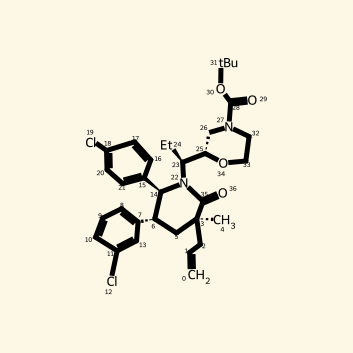 C=CC[C@@]1(C)C[C@H](c2cccc(Cl)c2)[C@@H](c2ccc(Cl)cc2)N([C@@H](CC)[C@@H]2CN(C(=O)OC(C)(C)C)CCO2)C1=O